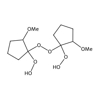 COC1CCCC1(OO)OOC1(OO)CCCC1OC